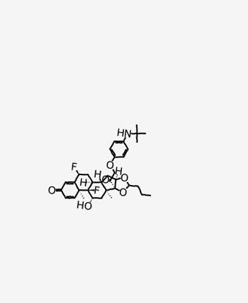 CCCC1O[C@@H]2C[C@H]3[C@@H]4C[C@H](F)C5=CC(=O)C=C[C@]5(C)[C@@]4(F)[C@@H](O)C[C@]3(C)[C@]2(C(=O)COc2ccc(NC(C)(C)C)cc2)O1